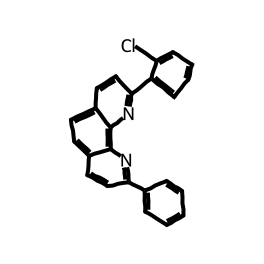 Clc1ccccc1-c1ccc2ccc3ccc(-c4ccccc4)nc3c2n1